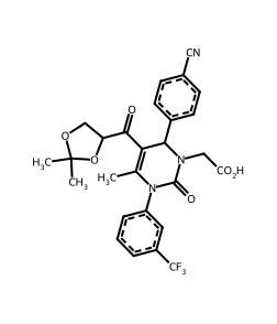 CC1=C(C(=O)C2COC(C)(C)O2)C(c2ccc(C#N)cc2)N(CC(=O)O)C(=O)N1c1cccc(C(F)(F)F)c1